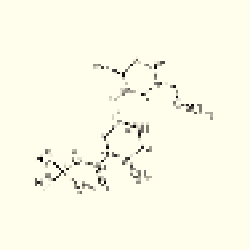 COCC1CN(C[C@H]2CN(C(=O)OC(C)(C)C)[C@H](C)CN2)C(=O)CO1